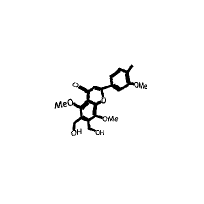 COc1cc(-c2cc(=O)c3c(OC)c(CO)c(CO)c(OC)c3o2)ccc1C